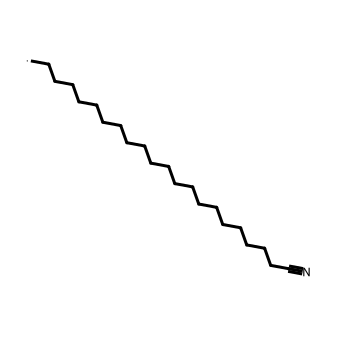 [CH2]CCCCCCCCCCCCCCCCCCCCC#N